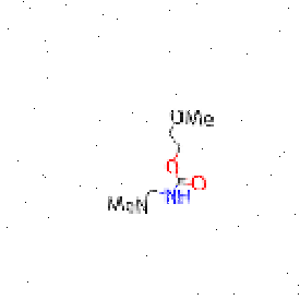 CNCNC(=O)OCCOC